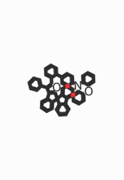 c1ccc(-c2c(-c3ccccc3-c3ccc(N4c5ccccc5Oc5ccccc54)cc3)oc3c2-c2ccccc2C32c3ccccc3-c3ccccc32)cc1